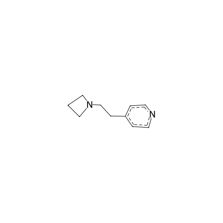 c1cc(CCN2CCC2)ccn1